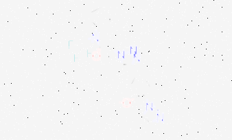 COc1cc(-c2cn([C@@]3(C)CCc4ccccc4N(CC(F)(F)F)C3=O)nn2)ccc1-n1cnc(C)c1